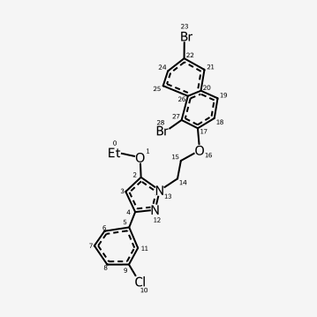 CCOc1cc(-c2cccc(Cl)c2)nn1CCOc1ccc2cc(Br)ccc2c1Br